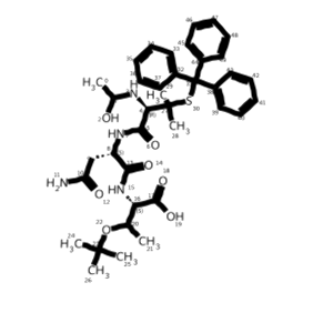 CC(O)N[C@H](C(=O)N[C@@H](CC(N)=O)C(=O)N[C@H](C(=O)O)C(C)OC(C)(C)C)C(C)(C)SC(c1ccccc1)(c1ccccc1)c1ccccc1